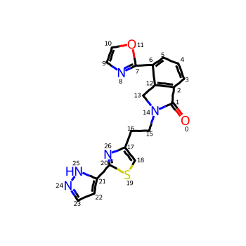 O=C1c2cccc(-c3ncco3)c2CN1CCc1csc(-c2ccn[nH]2)n1